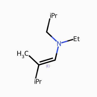 CCN(/C=C(\C)C(C)C)CC(C)C